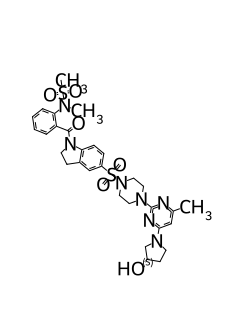 Cc1cc(N2CC[C@H](O)C2)nc(N2CCN(S(=O)(=O)c3ccc4c(c3)CCN4C(=O)c3ccccc3N(C)S(C)(=O)=O)CC2)n1